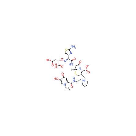 Cn1cc(O)c(=O)cc1C(=O)NCC[N+]1(CC2=C(C(=O)[O-])N3C(=O)[C@@H](NC(=O)C(=NO[C@@H](CC(=O)O)C(=O)O)c4csc(N)n4)[C@H]3SC2)CCCC1